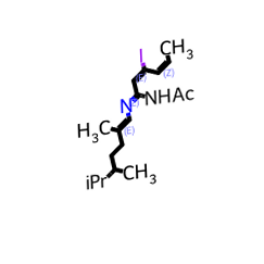 C\C=C/C(I)=C\C(=N\C=C(/C)CCC(C)C(C)C)NC(C)=O